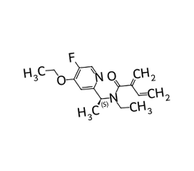 C=CC(=C)C(=O)N(CC)[C@@H](C)c1cc(OCC)c(F)cn1